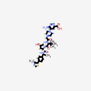 Cc1ncsc1-c1ccc(C(C)NC(=O)[C@@H]2C[C@@H](O)CN2C(=O)C(NC(=O)CN2CCN(c3cc(C(=O)O)nnc3N)CC2)C(C)(C)C)cc1